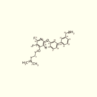 CN(C)CCCOc1c(F)c(F)nc(Oc2cccc(-c3cccc(CN)c3)c2)c1F